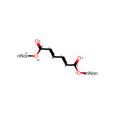 CCCCCCCCCOC(=O)C=CC=CC(=O)OCCCCCCCCC